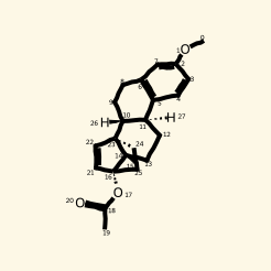 COc1ccc2c(c1)CC[C@@H]1[C@@H]2CC[C@]2(C)[C@]3(OC(C)=O)C=C[C@@]12CC3